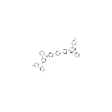 Cc1ccc(-c2cc(-c3ccc(-c4ccc(-c5ccc(-n6c7ccccc7c7cc(-n8c9ccc(C)cc9c9cc(C)ccc98)ccc76)cc5)cc4)cc3)nc(-c3ccc(C)cc3)n2)cc1